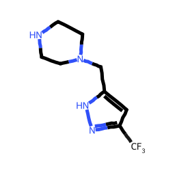 FC(F)(F)c1cc(CN2CCNCC2)[nH]n1